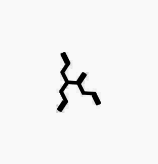 C=CC[C](CC=C)C(=C)CC=C